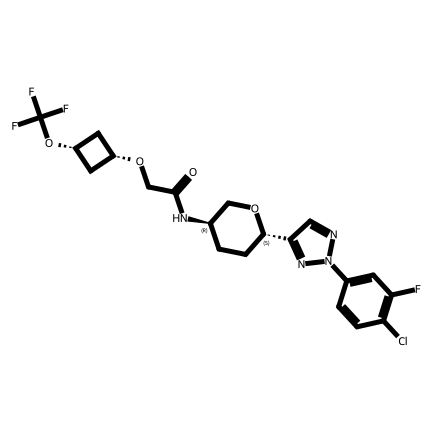 O=C(CO[C@H]1C[C@@H](OC(F)(F)F)C1)N[C@@H]1CC[C@@H](c2cnn(-c3ccc(Cl)c(F)c3)n2)OC1